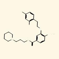 COc1ccc(C(=O)NCCCN2CCCCC2)cc1OCCc1ccc(Cl)cc1Cl